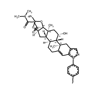 CCCC1O[C@@H]2C[C@H]3[C@@H]4CCC5=Cc6c(cnn6-c6ccc(F)cc6)C[C@]5(C)[C@H]4[C@@H](O)C[C@]3(C)[C@]2(C(=O)SC(=O)N(C)C)O1